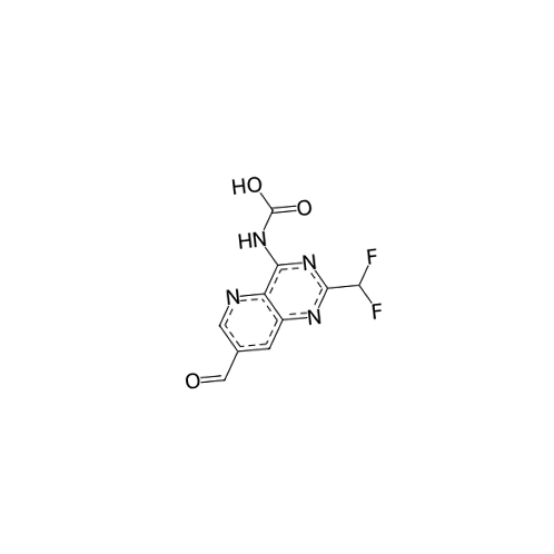 O=Cc1cnc2c(NC(=O)O)nc(C(F)F)nc2c1